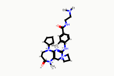 CCN(CC)CCNC(=O)c1ccc(NC2=NC3=C(C[N+]24CCC4)N(C)C(=O)CCN3C2CCCC2)c(OC)c1